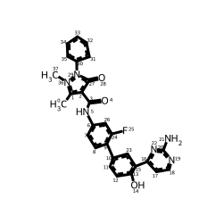 Cc1c(C(=O)Nc2ccc(-c3ccc(O)c(-c4ccnc(N)n4)c3)c(F)c2)c(=O)n(-c2ccccc2)n1C